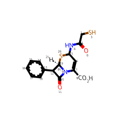 O=C(CS)NC1C=C(C(=O)O)N2C(=O)C(c3ccccc3)[C@H]2S1